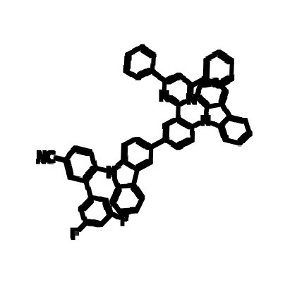 N#Cc1ccc(-n2c3ccccc3c3cc(-c4ccc(-n5c6ccccc6c6ccccc65)c(-c5nc(-c6ccccc6)cc(-c6ccccc6)n5)c4)ccc32)c(-c2cc(F)cc(F)c2)c1